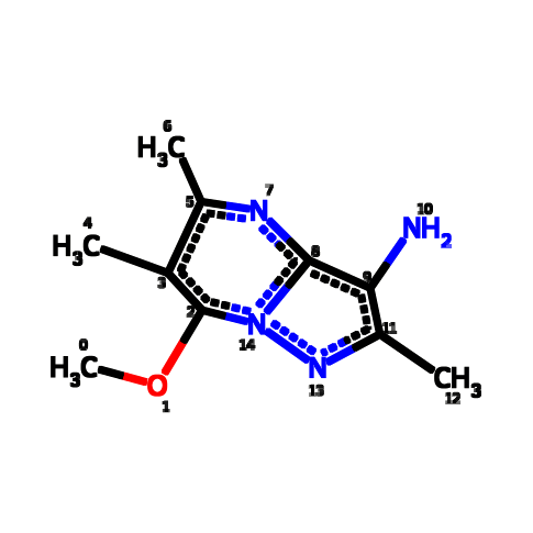 COc1c(C)c(C)nc2c(N)c(C)nn12